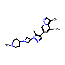 COc1cc(-c2cnn(C3CN(C4CCN(C#N)CC4)C3)c2C)cn2ncc(C#N)c12